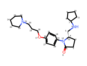 O=C1CC[C@@H](CNC2CCCC2)N1c1ccc(OCCCN2CCCCC2)cc1